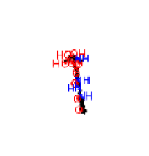 CC(=O)NC1C(OCCOCCNC(=O)CNCCNC(=O)CCCC(=O)C(C)C)OC(CO)C(O)C1O